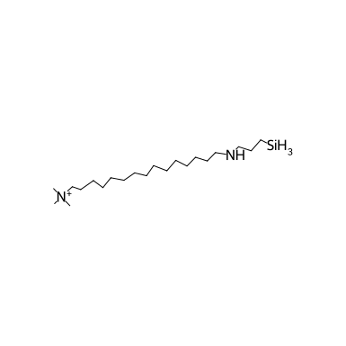 C[N+](C)(C)CCCCCCCCCCCCCCCNCCC[SiH3]